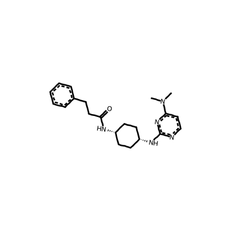 CN(C)c1ccnc(N[C@H]2CC[C@@H](NC(=O)CCc3ccccc3)CC2)n1